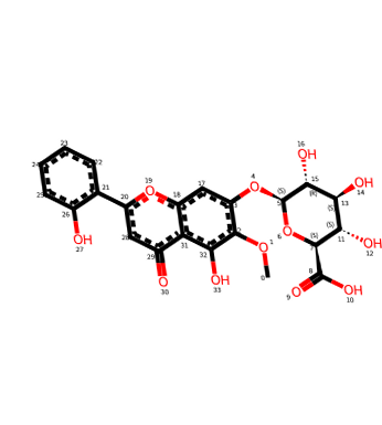 COc1c(O[C@@H]2O[C@H](C(=O)O)[C@@H](O)[C@H](O)[C@H]2O)cc2oc(-c3ccccc3O)cc(=O)c2c1O